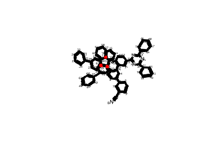 N#Cc1cccc(-c2ccc(-n3c4ccccc4c4cc(-c5ccccc5)ccc43)c(-c3cc(-c4nc(-c5ccccc5)nc(-c5ccccc5)n4)ccc3-n3c4ccccc4c4cc(-c5ccccc5)ccc43)c2)c1